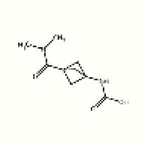 CN(C)C(=O)C12CC(NC(=O)O)(C1)C2